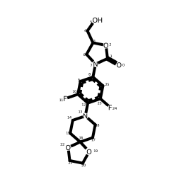 O=C1OC(CO)CN1c1cc(F)c(N2CCC3(CC2)OCCO3)c(F)c1